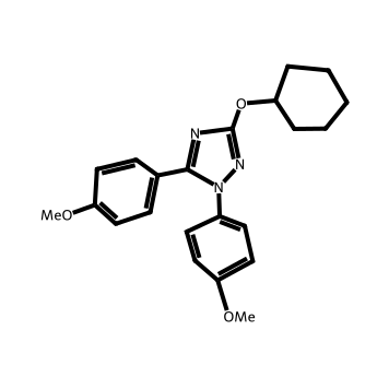 COc1ccc(-c2nc(OC3CCCCC3)nn2-c2ccc(OC)cc2)cc1